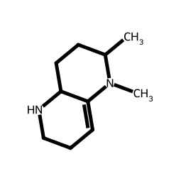 CC1CCC2NCCC=C2N1C